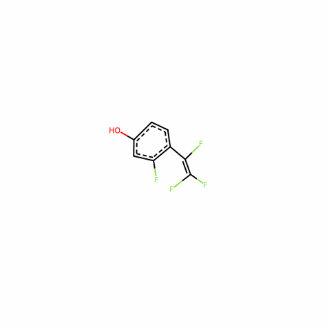 Oc1ccc(C(F)=C(F)F)c(F)c1